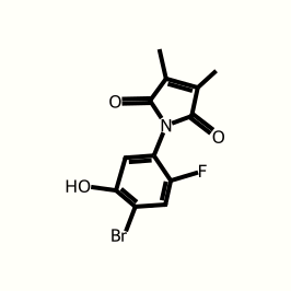 CC1=C(C)C(=O)N(c2cc(O)c(Br)cc2F)C1=O